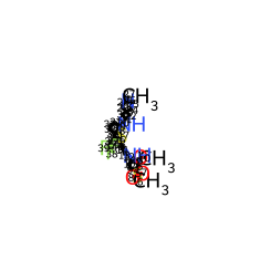 COc1cc(S(C)(=O)=O)ccc1NCC#Cc1sc2c(NC3CC4(CCN(C)CC4)C3)cccc2c1CC(F)(F)F